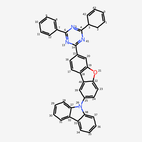 C1=CCC(c2nc(-c3ccccc3)nc(-c3ccc4c(c3)oc3ccc(-n5c6ccccc6c6ccccc65)cc34)n2)C=C1